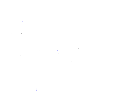 Cc1cc(-c2sc(NC(=O)N3CCOCC3)nc2-c2cccc(C#N)c2C)cc(C)n1